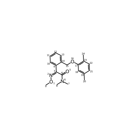 CO/N=C(\C(=O)N(C)C)c1ccccc1COc1cc(C)ccc1C